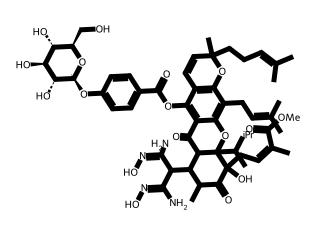 COC(=O)/C(C)=C\CC1(O)C(=O)C(C)C(C(/C(N)=N/O)/C(N)=N\O)C2C(=O)c3c(OC(=O)c4ccc(O[C@@H]5O[C@H](CO)[C@@H](O)[C@H](O)[C@H]5O)cc4)c4c(c(CC=C(C)C)c3OC21C(C)C(C)C)OC(C)(CCC=C(C)C)C=C4